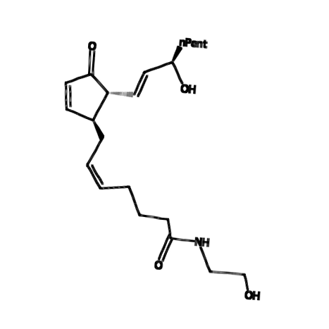 CCCCC[C@@H](O)/C=C/[C@H]1C(=O)C=C[C@@H]1C/C=C\CCCC(=O)NCCO